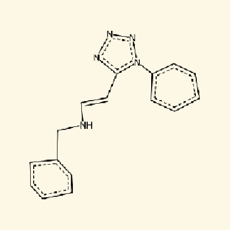 C(=Cc1nnnn1-c1ccccc1)NCc1ccccc1